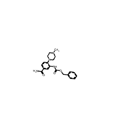 CN1CCN(c2ccc(C(N)=O)cc2NC(=O)OCc2ccccc2)CC1